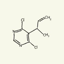 C=CC(C)c1c(Cl)ncnc1Cl